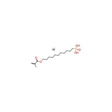 C=C(C)C(=O)OCCCCCCCCCCCP(=O)(O)O.[Al]